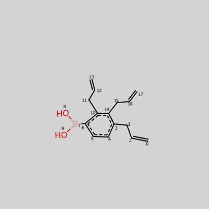 C=CCc1ccc(B(O)O)c(CC=C)c1CC=C